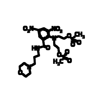 CS(=O)(=O)OCCN(CCOS(C)(=O)=O)c1c(C(=O)NCCCN2CCOCC2)cc([N+](=O)[O-])cc1[N+](=O)[O-]